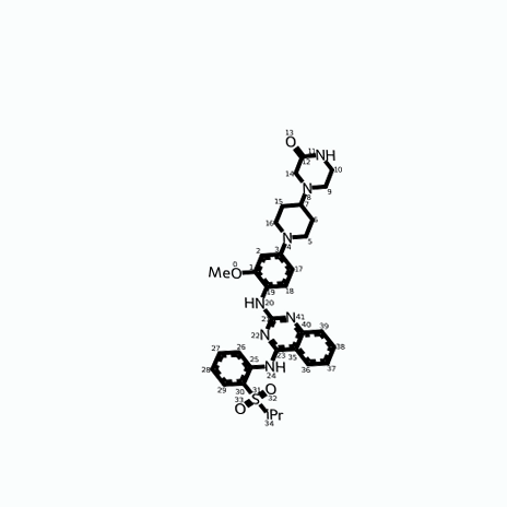 COc1cc(N2CCC(N3CCNC(=O)C3)CC2)ccc1Nc1nc(Nc2ccccc2S(=O)(=O)C(C)C)c2ccccc2n1